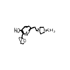 CN1CCN(CCc2ccc(O)c(C3OCCO3)n2)CC1